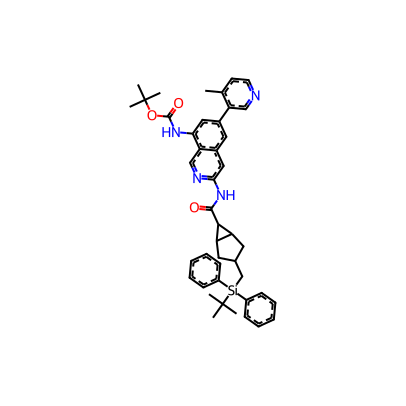 Cc1ccncc1-c1cc(NC(=O)OC(C)(C)C)c2cnc(NC(=O)C3C4CC(C[Si](c5ccccc5)(c5ccccc5)C(C)(C)C)CC43)cc2c1